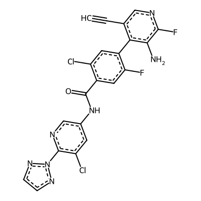 C#Cc1cnc(F)c(N)c1-c1cc(Cl)c(C(=O)Nc2cnc(-n3nccn3)c(Cl)c2)cc1F